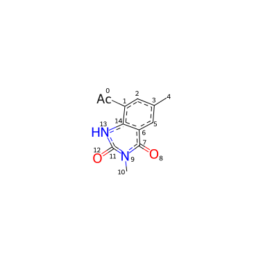 CC(=O)c1cc(C)cc2c(=O)n(C)c(=O)[nH]c12